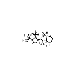 CC(C)C1CNC(CC(C)[C@H]2NCCC[C@@H]2C(F)(F)F)C1C(F)(F)F